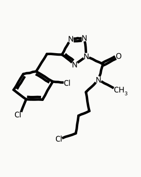 CN(CCCCCl)C(=O)n1nnc(Cc2ccc(Cl)cc2Cl)n1